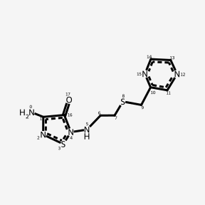 Nc1nsn(NCCSCc2cnccn2)c1=O